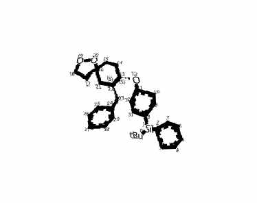 CC(C)(C)[SiH](c1ccccc1)c1ccc(O[C@H]2CCC3(CCOO3)C[C@@H]2Cc2ccccc2)cc1